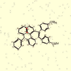 COc1ccc(/C=C(\c2ccc(OC)cc2)c2ccc(C)cc2-c2ccccc2P(c2ccccc2)c2ccccc2)cc1